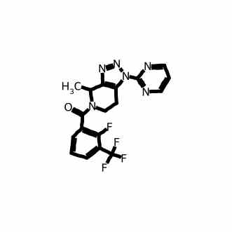 CC1c2nnn(-c3ncccn3)c2CCN1C(=O)c1cccc(C(F)(F)F)c1F